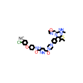 Cc1sc2c(c1C)C(c1ccc(N3CCN(C(=O)c4ccc(C(=O)N[C@H]5CC[C@H](Oc6ccc(C#N)c(Cl)c6)CC5)nn4)CC3)cc1)=N[C@H](Cc1ncco1)c1nnc(C)n1-2